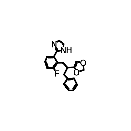 Fc1cccc(C2=NCCN2)c1CC(Cc1ccccc1)C1=COCO1